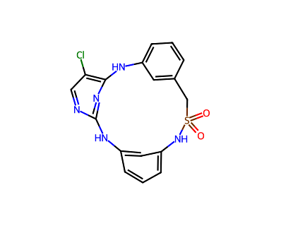 O=S1(=O)Cc2cccc(c2)Nc2nc(ncc2Cl)Nc2cccc(c2)N1